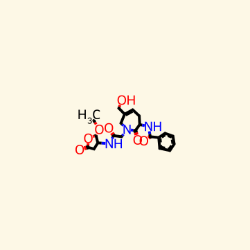 CCOC1OC(=O)CC1NC(=O)CN1CC(CO)=CCC(NC(=O)c2ccccc2)C1=O